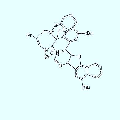 CC(C)C1=CN(C(C)C)C2(C)[N+]3=C(c4cc(C(C)(C)C)c5ccccc5c4C2(C)[N+](C(C)C)=C1)C1Oc2c(cc(C(C)(C)C)c4ccccc24)C1N=C3